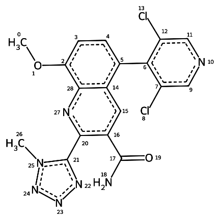 COc1ccc(-c2c(Cl)cncc2Cl)c2cc(C(N)=O)c(-c3nnnn3C)nc12